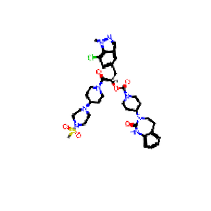 Cn1ncc2cc(C[C@@H](OC(=O)N3CCC(N4CCc5ccccc5NC4=O)CC3)C(=O)N3CCC(N4CCN(S(C)(=O)=O)CC4)CC3)cc(Cl)c21